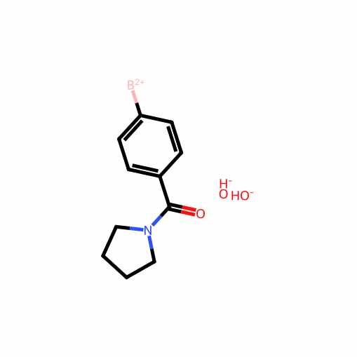 [B+2]c1ccc(C(=O)N2CCCC2)cc1.[OH-].[OH-]